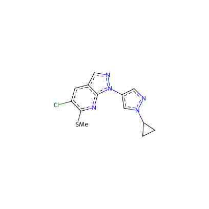 CSc1nc2c(cnn2-c2cnn(C3CC3)c2)cc1Cl